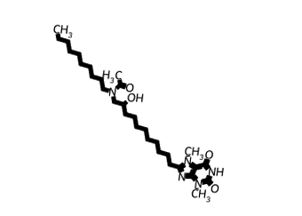 CCCCCCCCCCN(CC(O)CCCCCCCCCc1nc2c(c(=O)[nH]c(=O)n2C)n1C)C(C)=O